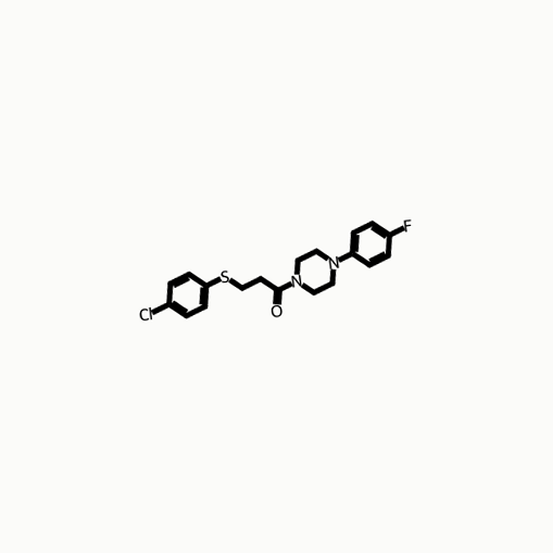 O=C(CCSc1ccc(Cl)cc1)N1CCN(c2ccc(F)cc2)CC1